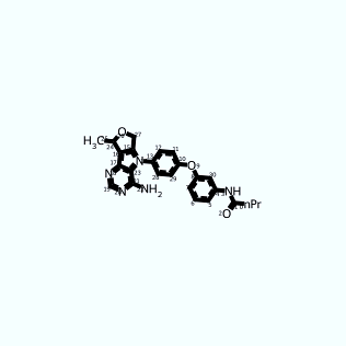 CCCC(=O)Nc1cccc(Oc2ccc(-n3c4c(c5ncnc(N)c53)C(C)OC4)cc2)c1